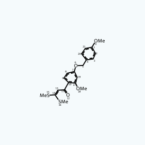 COc1ccc(COc2ccc(C(=O)C=C(SC)SC)c(OC)c2)cc1